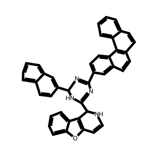 C1=Cc2oc3ccccc3c2C(C2=NC(c3ccc4c(ccc5ccc6ccccc6c54)c3)=NC(c3ccc4ccccc4c3)N2)N1